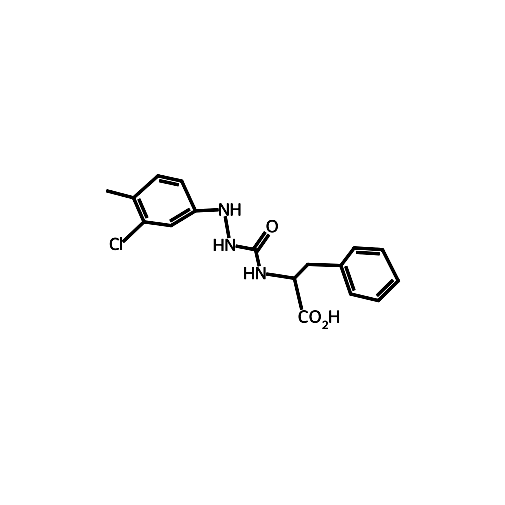 Cc1ccc(NNC(=O)NC(Cc2ccccc2)C(=O)O)cc1Cl